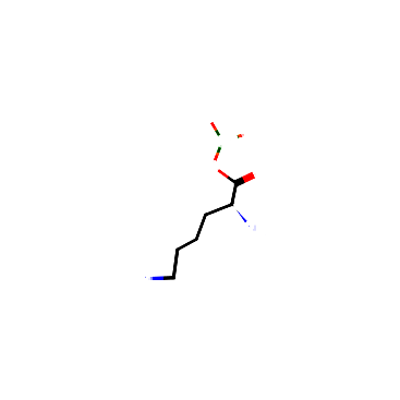 NCCCC[C@H](N)C(=O)O[Cl+2]([O-])[O-]